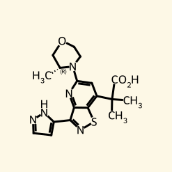 C[C@@H]1COCCN1c1cc(C(C)(C)C(=O)O)c2snc(-c3ccn[nH]3)c2n1